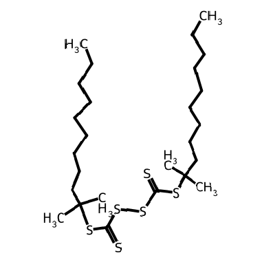 CCCCCCCCCC(C)(C)SC(=S)SSC(=S)SC(C)(C)CCCCCCCCC